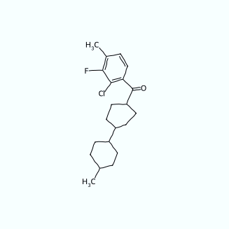 Cc1ccc(C(=O)C2CCC(C3CCC(C)CC3)CC2)c(Cl)c1F